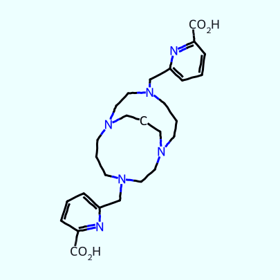 O=C(O)c1cccc(CN2CCCN3CCCN(CCCN(Cc4cccc(C(=O)O)n4)CC3)CC2)n1